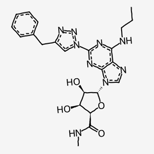 CCCNc1nc(-n2cc(Cc3ccccc3)nn2)nc2c1ncn2[C@@H]1O[C@@H](C(=O)NC)[C@@H](O)[C@H]1O